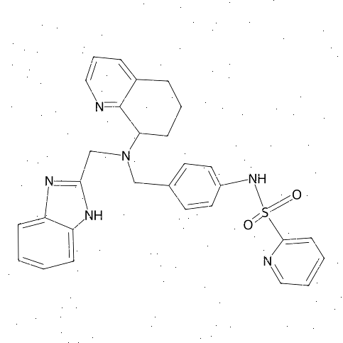 O=S(=O)(Nc1ccc(CN(Cc2nc3ccccc3[nH]2)C2CCCc3cccnc32)cc1)c1ccccn1